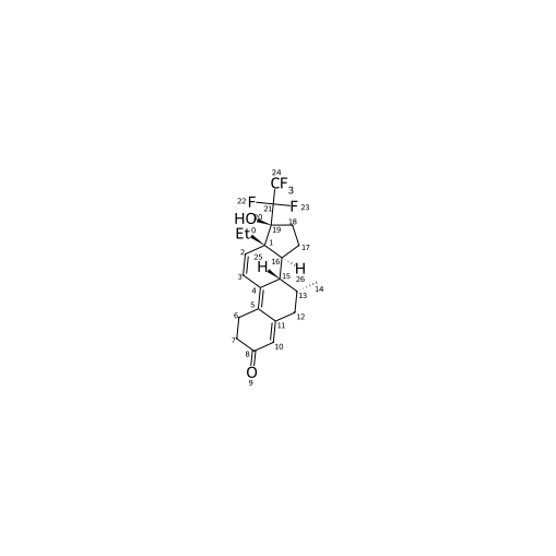 CC[C@]12C=CC3=C4CCC(=O)C=C4C[C@@H](C)[C@H]3[C@@H]1CC[C@@]2(O)C(F)(F)C(F)(F)F